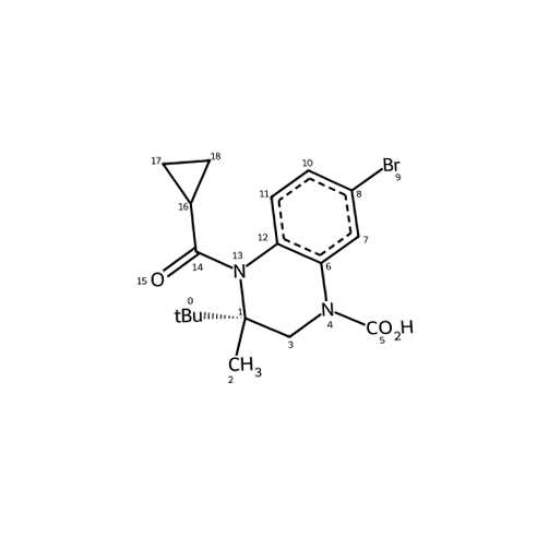 CC(C)(C)[C@@]1(C)CN(C(=O)O)c2cc(Br)ccc2N1C(=O)C1CC1